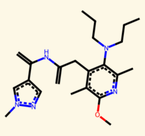 C=C(Cc1c(C)c(OC)nc(C)c1N(CCC)CCC)NC(=C)c1cnn(C)c1